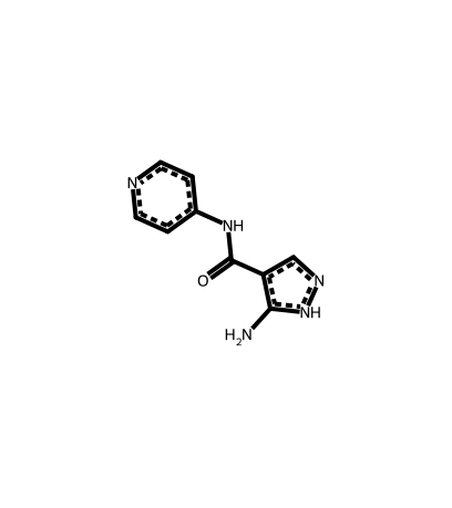 Nc1[nH]ncc1C(=O)Nc1ccncc1